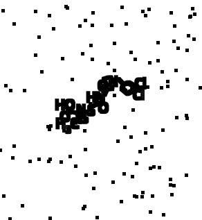 Cc1sc(SCC(=O)NCC2CN(Cc3ccc(Cl)c(Cl)c3)CCO2)nc1C(=O)O